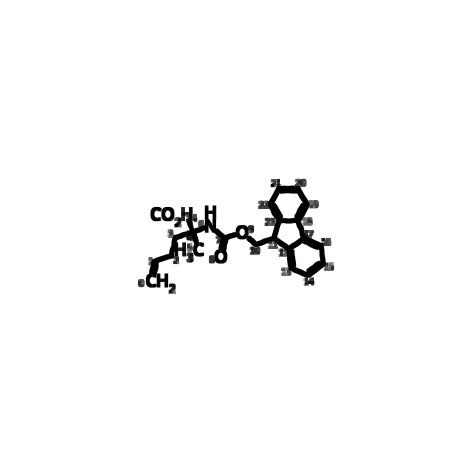 C=CCC[C@@](C)(NC(=O)OCC1c2ccccc2-c2ccccc21)C(=O)O